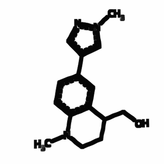 CN1CCC(CO)c2cc(-c3cnn(C)c3)ccc21